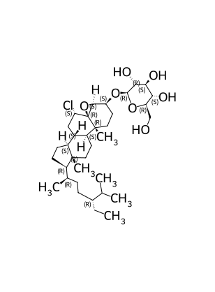 CC[C@H](CC[C@@H](C)[C@H]1CC[C@H]2[C@@H]3C[C@H](Cl)[C@]45O[C@H]4[C@@H](O[C@@H]4O[C@H](CO)[C@@H](O)[C@H](O)[C@H]4O)CC[C@]5(C)[C@H]3CC[C@]12C)C(C)C